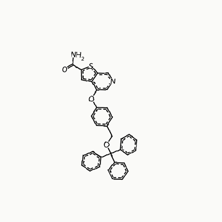 NC(=O)c1cc2c(Oc3ccc(COC(c4ccccc4)(c4ccccc4)c4ccccc4)cc3)cncc2s1